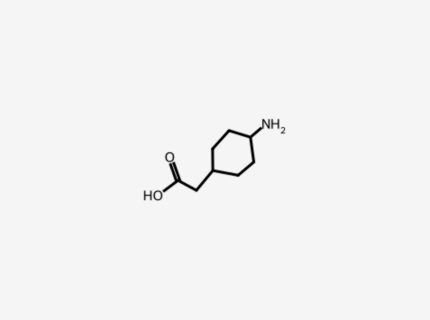 NC1CCC(CC(=O)O)CC1